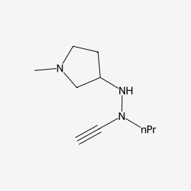 C#CN(CCC)NC1CCN(C)C1